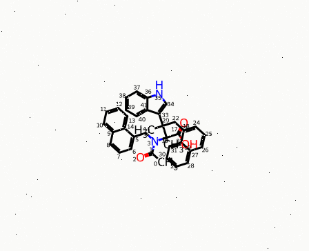 CC(=O)N(Cc1cccc2ccccc12)[C@](C)(C(=O)O)C(C)(Cc1cccc2ccccc12)c1c[nH]c2ccccc12